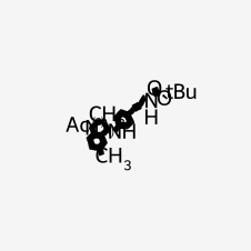 CC(=O)N1c2ccc(C)cc2[C@H](Nc2ccc(C#CCNC(=O)OC(C)(C)C)cc2)C[C@@H]1C